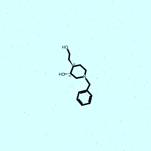 OCC[C@H]1CCN(Cc2ccccc2)C[C@@H]1O